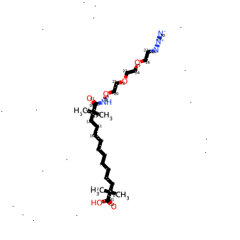 CC(C)(CCCCCCCCCCC(C)(C)C(=O)NOCCOCCOCCN=[N+]=[N-])C(=O)O